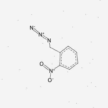 [N-]=[N+]=NCc1ccccc1[N+](=O)[O-]